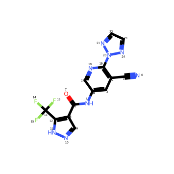 N#Cc1cc(NC(=O)c2cn[nH]c2C(F)(F)F)cnc1-n1nccn1